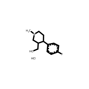 CN1CCC(c2ccc(F)cc2)C(CO)C1.Cl